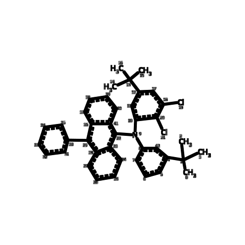 CC(C)(C)c1cccc(N(c2cc(C(C)(C)C)cc(Cl)c2Cl)c2c3ccccc3c(-c3ccccc3)c3ccccc23)c1